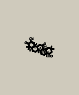 CC1(C)CC[C@]2(C=O)CC[C@]3(C)[C@H](C(=O)CC4[C@@]5(C)C=C(C#N)C(=O)C(C)(C)[C@@H]5CC[C@]43C)[C@@H]2C1